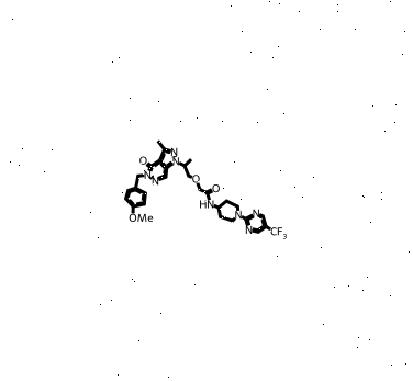 COc1ccc(Cn2ncc3c(c(C)nn3C(C)COCC(=O)NC3CCN(c4ncc(C(F)(F)F)cn4)CC3)c2=O)cc1